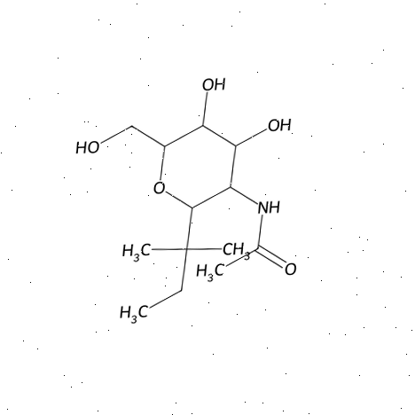 CCC(C)(C)C1OC(CO)C(O)C(O)C1NC(C)=O